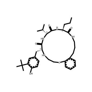 CCC[C@@H]1NC(=O)[C@@H](C(C)C)NC(=O)[C@@H](Cc2ccc(O)c(C(C)(C)C)c2)NCCOc2ccccc2CCCNC1=O